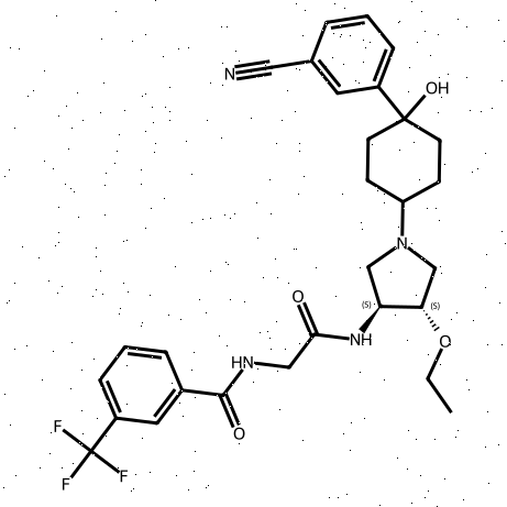 CCO[C@H]1CN(C2CCC(O)(c3cccc(C#N)c3)CC2)C[C@@H]1NC(=O)CNC(=O)c1cccc(C(F)(F)F)c1